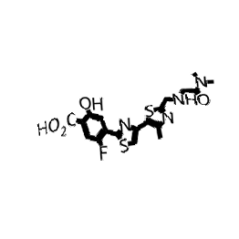 Cc1nc(CNCC(=O)N(C)C)sc1-c1csc(-c2cc(O)c(C(=O)O)cc2F)n1